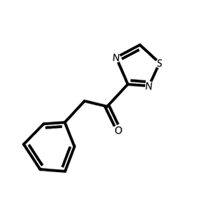 O=C(Cc1ccccc1)c1ncsn1